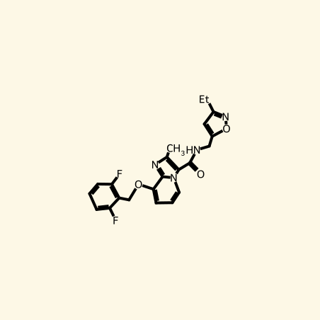 CCc1cc(CNC(=O)c2c(C)nc3c(OCc4c(F)cccc4F)cccn23)on1